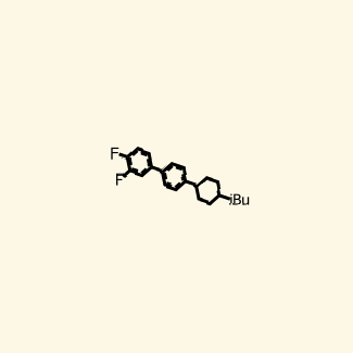 CCC(C)C1CCC(c2ccc(-c3ccc(F)c(F)c3)cc2)CC1